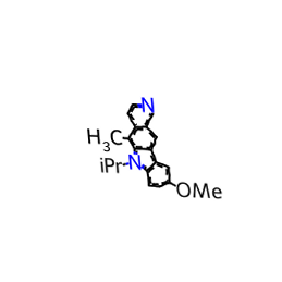 COc1ccc2c(c1)c1cc3cnccc3c(C)c1n2C(C)C